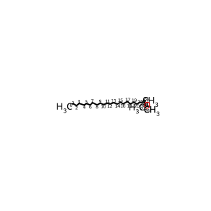 CCCCCCCCCCCCCCCCCCCCCC[Si](C)(C)OC